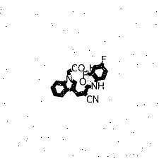 N#CC(=Cc1cn(CC(=O)O)c2ccccc12)C(=O)Nc1ccc(F)cc1F